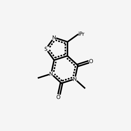 CC(C)c1nsc2c1c(=O)n(C)c(=O)n2C